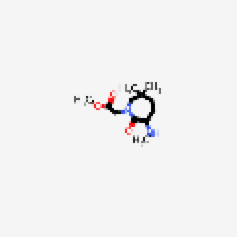 CNC1CCC(C)(C)CN(CC(=O)OC)C1=O